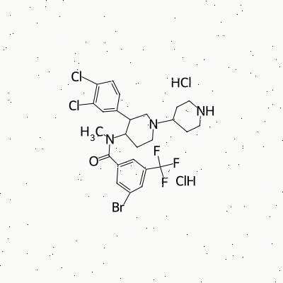 CN(C(=O)c1cc(Br)cc(C(F)(F)F)c1)C1CCN(C2CCNCC2)CC1c1ccc(Cl)c(Cl)c1.Cl.Cl